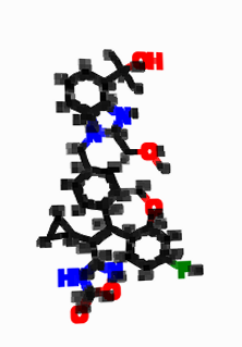 COCc1nc2c(C(C)(C)O)cccc2n1Cc1ccc2c(c1)COc1cc(F)ccc1C2=C(c1noc(=O)[nH]1)C1CC1